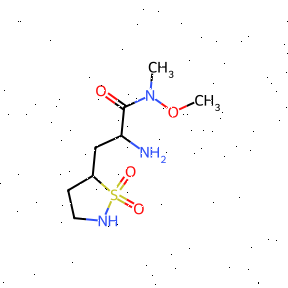 CON(C)C(=O)C(N)CC1CCNS1(=O)=O